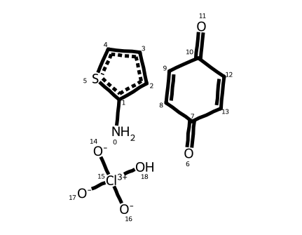 Nc1cccs1.O=C1C=CC(=O)C=C1.[O-][Cl+3]([O-])([O-])O